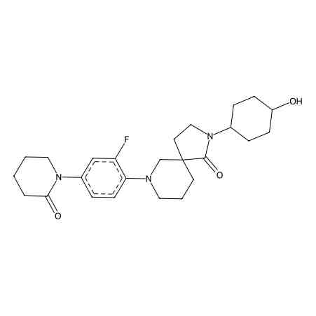 O=C1CCCCN1c1ccc(N2CCCC3(CCN(C4CCC(O)CC4)C3=O)C2)c(F)c1